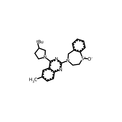 Cc1ccc2nc(N3CC[S+]([O-])c4ccccc4C3)nc(N3CCC(C(C)(C)C)C3)c2c1